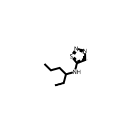 CCCC(CC)Nc1[c]nns1